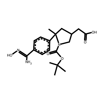 CC(C)(C)OC(=O)N1CC(CC(=O)O)CC1(C)c1ccc(C(N)=NO)cc1